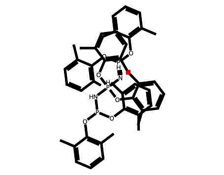 Cc1cccc(C)c1OP(N[PH](N=[PH](Oc1c(C)cccc1C)Oc1c(C)cccc1C)(Oc1c(C)cccc1C)Oc1c(C)cccc1C)Oc1c(C)cccc1C